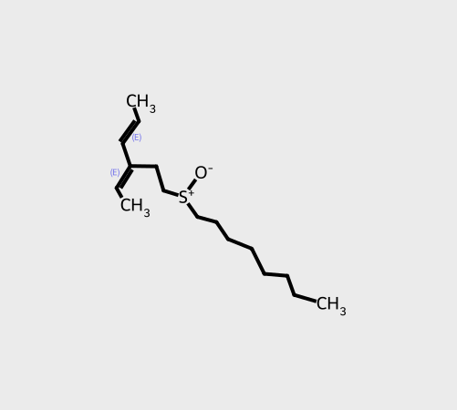 C/C=C/C(=C/C)CC[S+]([O-])CCCCCCCC